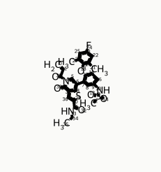 C=CC(=O)n1cc(-c2cc(NS(C)(=O)=O)ccc2Oc2c(C)cc(F)cc2C)c2sc(C(=O)NCC)cc2c1=O